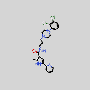 CC1NC(c2ccccn2)=CC1C(=O)NCCCN1CCN(c2cccc(Cl)c2Cl)CC1